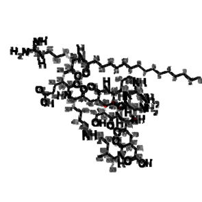 CCCCCCCCCCCCCCCC(=O)N[C@@H](CCCNC(=N)N)C(=O)C[C@@H](CCC(=O)O)C(=O)N[C@@H](CCCCN)C(=O)CC(CCCNC(=N)N)C(=O)N[C@@H](CCCNC(=N)N)C(=O)C[C@@H](CO)C(=O)N[C@@H](C)C(=O)C[C@@H](CC(=O)O)C(=O)N[C@H](C)[C@@H](C)CC